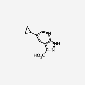 O=C(O)c1n[nH]c2ncc(C3CC3)cc12